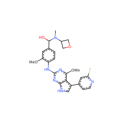 COc1cc(C(O)N(C)C2COC2)ccc1Nc1nc(OC)c2c(-c3ccnc(F)c3)c[nH]c2n1